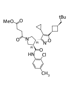 COC(=O)CCC(=O)N1C[C@H](C(=O)Nc2ccc(C)cc2Cl)[C@@H](c2noc([C@H]3C[C@@H](CC(C)(C)C)C3)c2C2CC2)C1